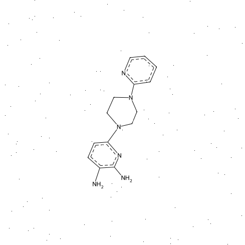 Nc1ccc(N2CCN(c3ccccn3)CC2)nc1N